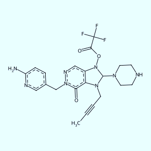 CC#CCN1c2c(cnn(Cc3ccc(N)nc3)c2=O)N(OC(=O)C(F)(F)F)C1N1CCNCC1